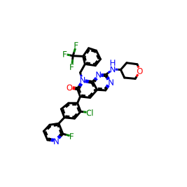 O=c1c(-c2ccc(-c3cccnc3F)cc2Cl)cc2cnc(NC3CCOCC3)nc2n1Cc1ccccc1C(F)(F)F